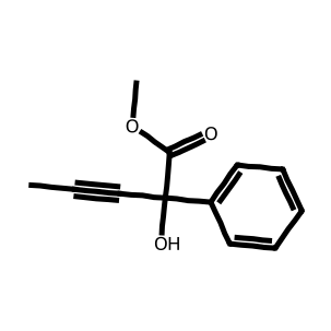 CC#CC(O)(C(=O)OC)c1ccccc1